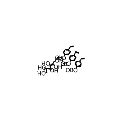 C=Cc1ccc(OB=O)cc1.C=Cc1ccc(OB=O)cc1.C=Cc1ccc(OB=O)cc1.OC[C@@H](O)[C@@H](O)[C@H](O)[C@H](O)CO